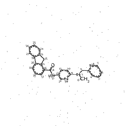 CN(Cc1ccccn1)c1ccc(NC(=O)c2cccc3c2Cc2ccccc2-3)cn1